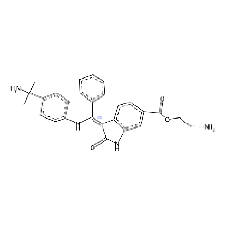 CC(C)(N)c1ccc(N/C(=C2\C(=O)Nc3cc(C(=O)OCCN)ccc32)c2ccccc2)cc1